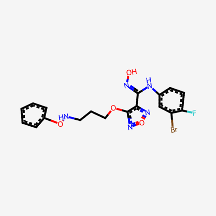 O/N=C(\Nc1ccc(F)c(Br)c1)c1nonc1OCCCNOc1ccccc1